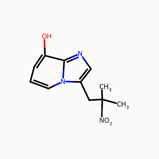 CC(C)(Cc1cnc2c(O)cccn12)[N+](=O)[O-]